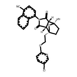 CCC[C@]12CC[C@](CCOc3ccc(Cl)cn3)(O1)[C@@H]1C(=O)N(c3ccc(C#N)c4ccccc34)C(=O)[C@@H]12